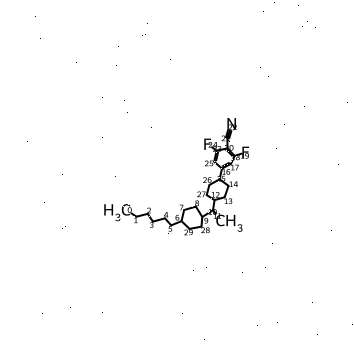 CCCCCCC1CCC(C(C)C2CCC(c3cc(F)c(C#N)c(F)c3)CC2)CC1